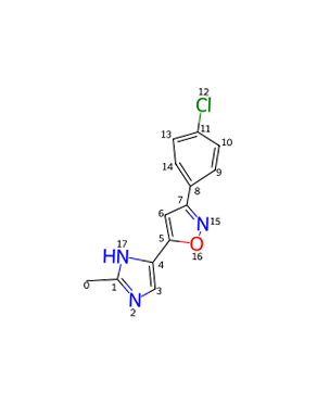 Cc1ncc(-c2cc(-c3ccc(Cl)cc3)no2)[nH]1